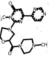 CN1CCN(C(=O)C2CN(c3nc(-c4ccncn4)cc(=O)n3C)CCO2)CC1